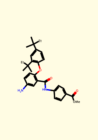 CCC(C)(C)c1ccc(Oc2ccc(N)cc2C(=O)Nc2ccc(C(=O)OC)cc2)c(C(C)(C)CC)c1